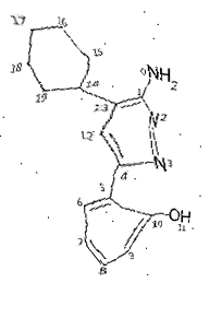 Nc1nnc(-c2ccccc2O)cc1C1CCCCC1